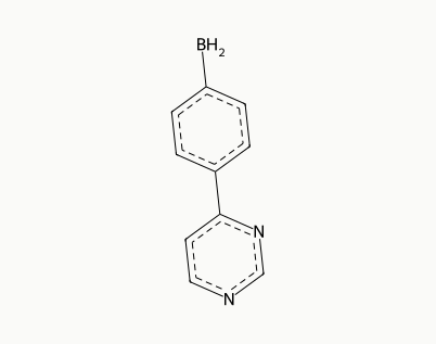 Bc1ccc(-c2ccncn2)cc1